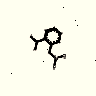 CC(C)c1ccccc1[CH2][Ru]([Cl])[Cl]